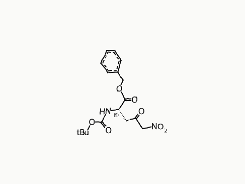 CC(C)(C)OC(=O)N[C@@H](CC(=O)C[N+](=O)[O-])C(=O)OCc1ccccc1